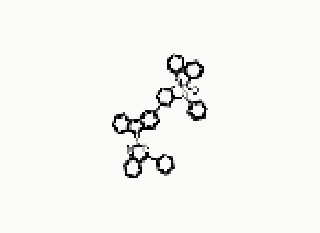 O=P1(c2ccccc2)N(c2ccccc2)c2ccc(-c3ccc4c(c3)c3ccccc3n4-c3nc(-c4ccccc4)c4ccccc4n3)cc2N1c1ccccc1